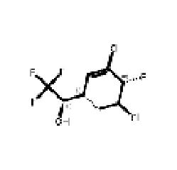 O[C@H]([C@@H]1C=C(Cl)[C@H](F)C(Cl)C1)C(F)(F)F